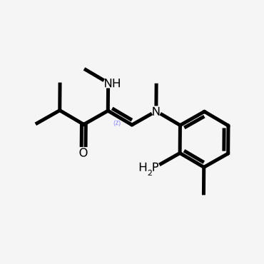 CN/C(=C\N(C)c1cccc(C)c1P)C(=O)C(C)C